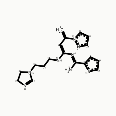 C=C(/C=C(\N=C(/N)c1cccs1)NCCCN1C=NCC1)n1cccn1